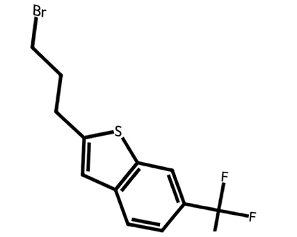 FC(F)(F)c1ccc2cc(CCCBr)sc2c1